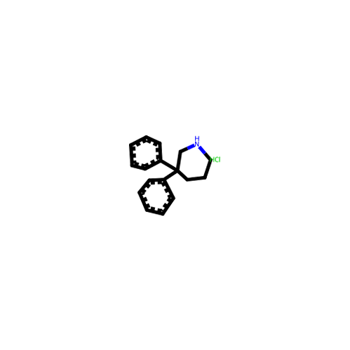 Cl.c1ccc(C2(c3ccccc3)CCCNC2)cc1